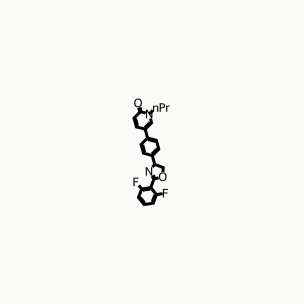 CCCn1cc(-c2ccc(C3COC(c4c(F)cccc4F)=N3)cc2)ccc1=O